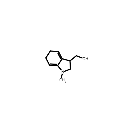 CN1CC(CO)C2=CCCC=C21